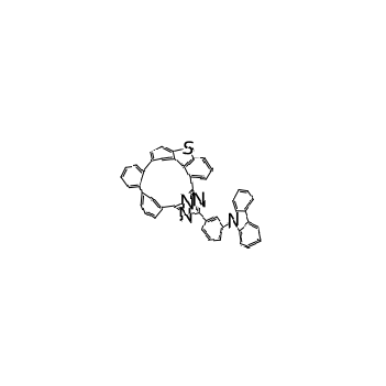 c1cc(-c2nc3nc(n2)c2cccc4sc5ccc(cc5c42)c2ccccc2c2cccc3c2)cc(-n2c3ccccc3c3ccccc32)c1